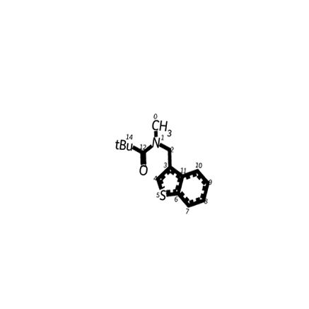 CN(Cc1csc2ccccc12)C(=O)C(C)(C)C